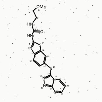 COCCNC(=O)Nc1nc2ccc(Sc3nnc4ccccn34)cc2s1